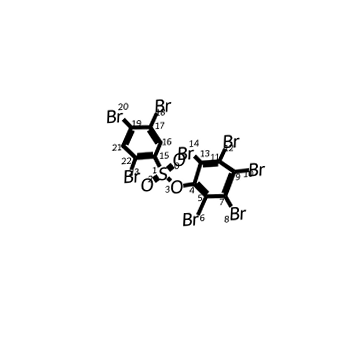 O=S(=O)(Oc1c(Br)c(Br)c(Br)c(Br)c1Br)c1cc(Br)c(Br)cc1Br